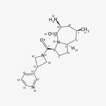 C[C@H]1C[C@H]2CC[C@@H](C(=O)N3CC(c4cccnc4)C3)N2C(=O)[C@@H](N)C1